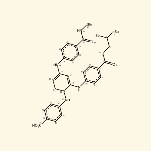 CCCCC(CC)COC(=O)c1ccc(NC2=NC(Nc3ccc(C(=O)NC(C)(C)C)cc3)=NCN2Nc2ccc(C(=O)O)cc2)cc1